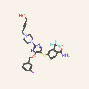 NC(=O)c1ccc(Sc2cnc(N3CCN(CC#CCO)CC3)nc2OCc2cccc(I)c2)cc1C(F)(F)F